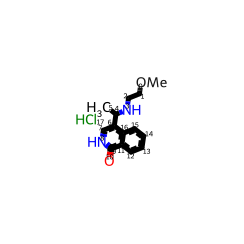 COCCNC(C)c1c[nH]c(=O)c2ccccc12.Cl